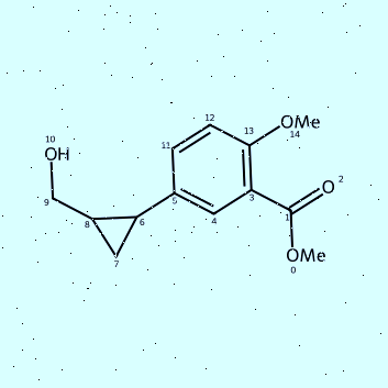 COC(=O)c1cc(C2CC2CO)ccc1OC